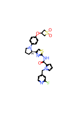 O=C(Nc1nc([C@H]2CCCN2c2ccc(OC3CS(=O)(=O)C3)cc2)cs1)c1cccn1Cc1ccnc(F)c1